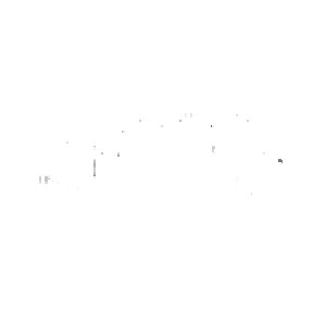 Cc1cc(OCCC2CC3(CCNCC3)C2)ccc1Br